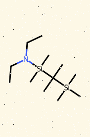 CCN(CC)[Si](C)(C)C(C)(C)[Si](C)(C)C